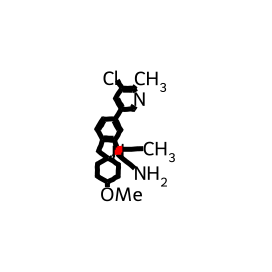 COC1CCC2(CC1)Cc1ccc(-c3cnc(C)c(Cl)c3)cc1[C@@]21N=C(C)C(N)=N1